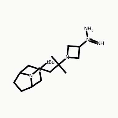 CC(C)(C)N1CC2CCC(C1)N2CCC(C)(C)N1CC([N+](=N)N)C1